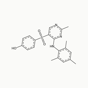 Cc1cc(C)c(Nc2nc(C)ncc2S(=O)(=O)c2ccc(O)cc2)c(C)c1